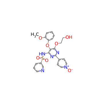 COc1ccccc1Oc1c(NS(=O)(=O)c2cccnc2)nc(-c2cc[n+]([O-])cc2)nc1OCCO